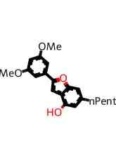 CCCCCc1cc(O)c2cc(-c3cc(OC)cc(OC)c3)oc2c1